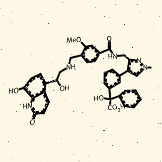 COc1cc(C(=O)NCc2nn(C)cc2-c2cccc(C(O)(C(=O)O)c3ccccc3)c2)ccc1CNCC(O)c1ccc(O)c2[nH]c(=O)ccc12